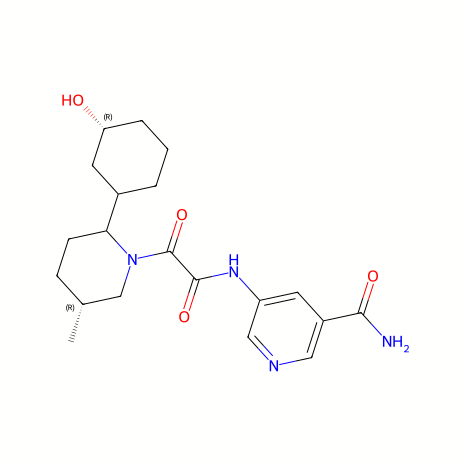 C[C@@H]1CCC(C2CCC[C@@H](O)C2)N(C(=O)C(=O)Nc2cncc(C(N)=O)c2)C1